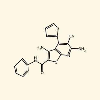 N#Cc1c(N)nc2sc(C(=O)Nc3ccccc3)c(N)c2c1-c1cccs1